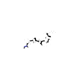 C/C=C(\C)C(=O)N[C@H](c1nc(-c2nc(C(=O)N[C@@H](C)c3nc(C(=O)OC)co3)c(C)o2)cs1)C(C)C